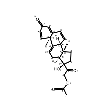 CC(=O)OCC(=O)[C@@]1(O)CC[C@H]2[C@@H]3C=CC4=CC(=O)C=C[C@]4(C)C3=CC[C@@]21C